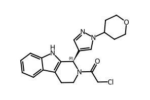 O=C(CCl)N1CCc2c([nH]c3ccccc23)[C@H]1c1cnn(C2CCOCC2)c1